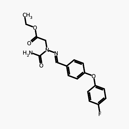 CCOC(=O)CN(N=Cc1ccc(Oc2ccc(F)cc2)cc1)C(N)=O